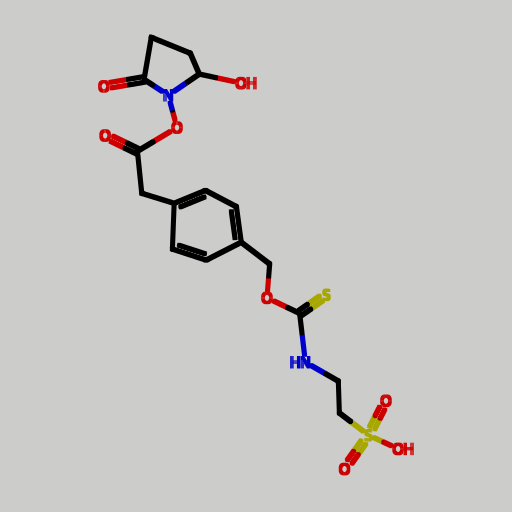 O=C(Cc1ccc(COC(=S)NCCS(=O)(=O)O)cc1)ON1C(=O)CCC1O